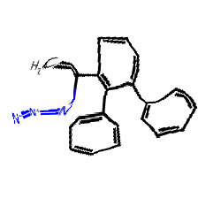 C=C(N=[N+]=[N-])c1cccc(-c2ccccc2)c1-c1ccccc1